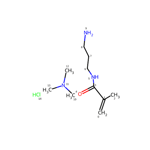 C=C(C)C(=O)NCCCN.CN(C)C.Cl